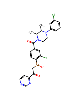 CC1C(C)N(c2cccc(Cl)c2)CCN1C(=O)c1ccc([S+]([O-])CC(=O)c2ccncn2)c(Cl)c1